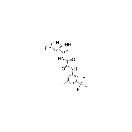 Cc1cc(NC(=O)C(=O)Nc2c[nH]c3ncc(F)cc23)cc(C(F)(F)F)c1